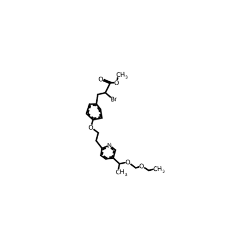 CCOCOC(C)c1ccc(CCOc2ccc(CC(Br)C(=O)OC)cc2)nc1